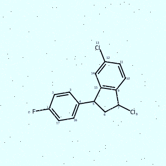 Fc1ccc(C2CC(Cl)c3ccc(Cl)cc32)cc1